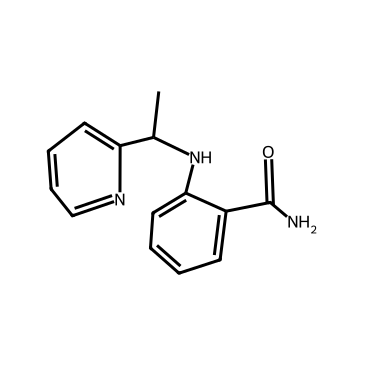 CC(Nc1ccccc1C(N)=O)c1ccccn1